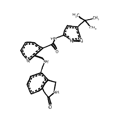 CC(C)(C)c1cc(NC(=O)c2cccnc2Nc2cccc3c2CNC3=O)no1